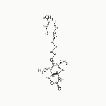 Cc1ccc(SCCCCOc2c(C)cc3c(c2C)COC(=O)N3)cc1